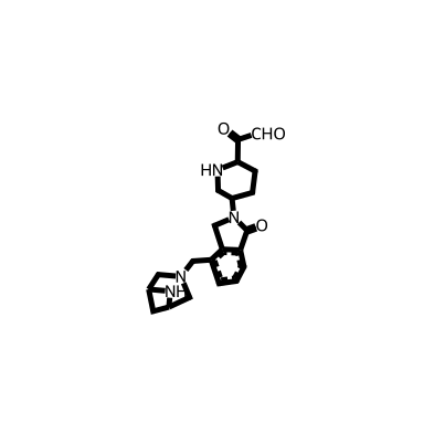 O=CC(=O)C1CCC(N2Cc3c(CN4CC5CC(C4)N5)cccc3C2=O)CN1